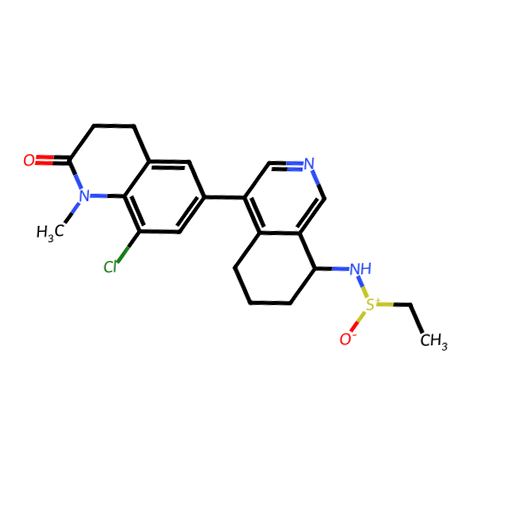 CC[S+]([O-])NC1CCCc2c(-c3cc(Cl)c4c(c3)CCC(=O)N4C)cncc21